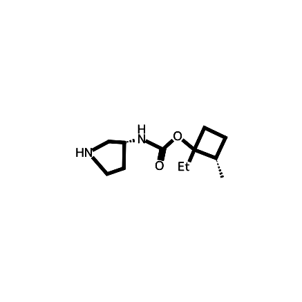 CCC1(OC(=O)N[C@@H]2CCNC2)CC[C@@H]1C